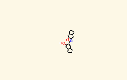 Oc1cc2ccccc2cc1-c1nc2cc3ccccc3cc2o1